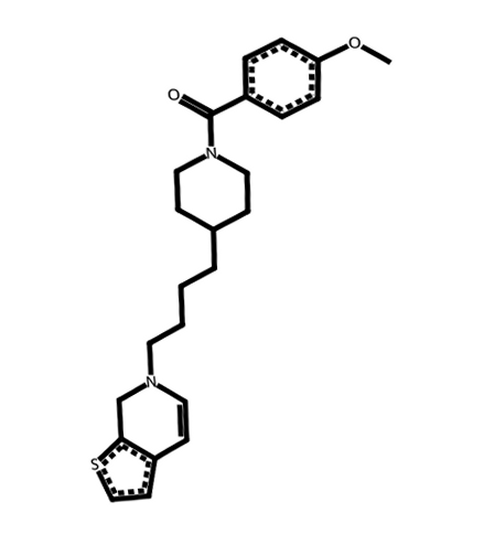 COc1ccc(C(=O)N2CCC(CCCCN3C=Cc4ccsc4C3)CC2)cc1